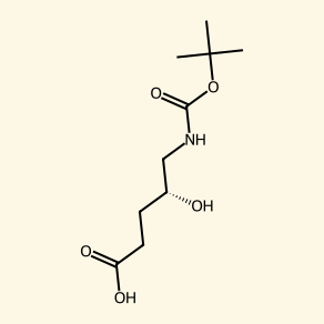 CC(C)(C)OC(=O)NC[C@H](O)CCC(=O)O